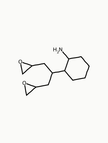 NC1CCCCC1C(CC1CO1)CC1CO1